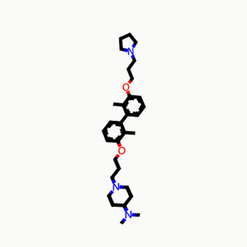 Cc1c(OCCCN2CCCC2)cccc1-c1cccc(OCCCN2CCC(N(C)C)CC2)c1C